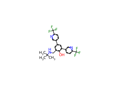 CC(C)(C)NCc1cc(-c2ccc(C(F)(F)F)nc2)cc(-c2ccc(C(F)(F)F)nc2)c1O